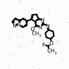 COc1nc(N=C2CCC(OC(C)F)CC2)nc2c1C(c1ccn3nccc3c1)=CC2